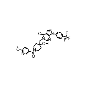 COc1ccc(C(=O)N2CCC(O)(Cn3cnc4c(cnn4-c4ccc(C(F)(F)F)cc4)c3=O)CC2)cn1